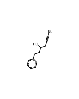 CCC#CC[C@H](O)CCc1ccccc1